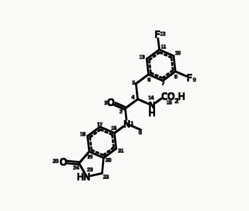 CN(C(=O)C(Cc1cc(F)cc(F)c1)NC(=O)O)c1ccc2c(c1)CNC2=O